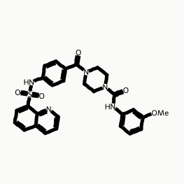 COc1cccc(NC(=O)N2CCN(C(=O)c3ccc(NS(=O)(=O)c4cccc5cccnc45)cc3)CC2)c1